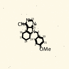 COc1ccc(Cn2c3c(c4c(Cl)ncnc42)CCCC3)cc1